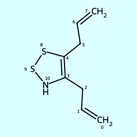 C=CCC1=C(CC=C)SSN1